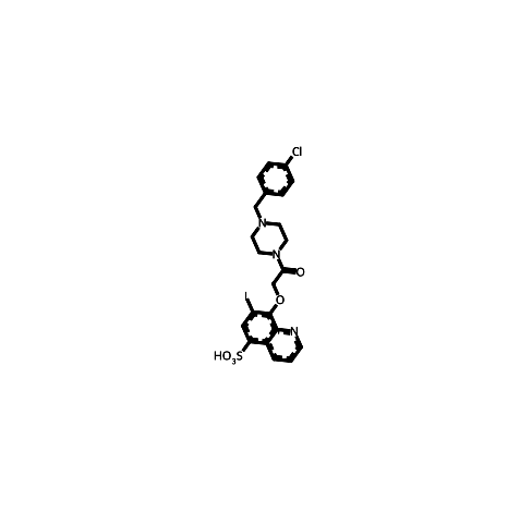 O=C(COc1c(I)cc(S(=O)(=O)O)c2cccnc12)N1CCN(Cc2ccc(Cl)cc2)CC1